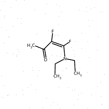 CCN(CC)/C(F)=C(/F)C(C)=O